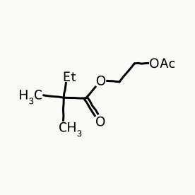 CCC(C)(C)C(=O)OCCOC(C)=O